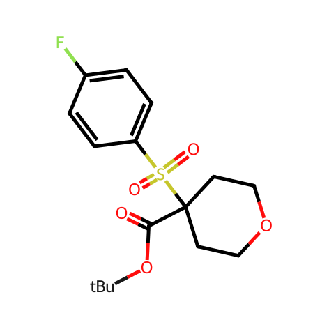 CC(C)(C)OC(=O)C1(S(=O)(=O)c2ccc(F)cc2)CCOCC1